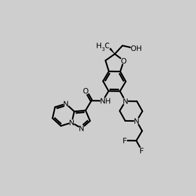 C[C@]1(CO)Cc2cc(NC(=O)c3cnn4cccnc34)c(N3CCN(CC(F)F)CC3)cc2O1